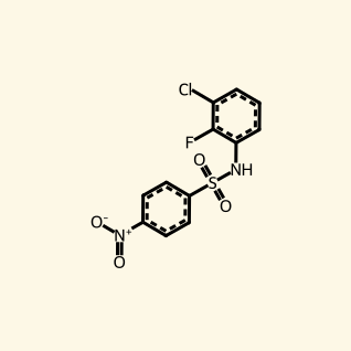 O=[N+]([O-])c1ccc(S(=O)(=O)Nc2cccc(Cl)c2F)cc1